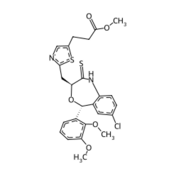 COC(=O)CCc1cnc(C[C@@H]2O[C@@H](c3cccc(OC)c3OC)c3cc(Cl)ccc3NC2=S)s1